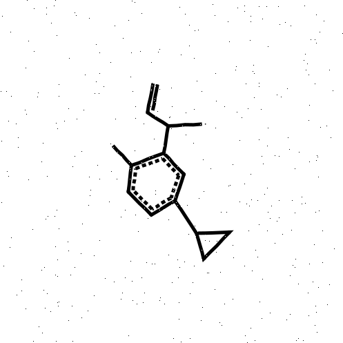 [CH2]C(C=C)c1cc(C2CC2)ccc1C